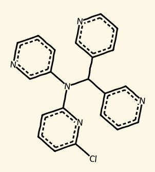 Clc1cccc(N(c2cccnc2)C(c2cccnc2)c2cccnc2)n1